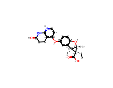 CC[C@@]1(C(=O)O)[C@H]2Oc3ccc(Oc4ccnc5c4CCC(=O)N5)cc3[C@@H]21